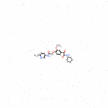 COc1cc(C(=O)C(=O)NC2CCCCC2)ccc1OCC(=O)Nc1ccc(C)nc1